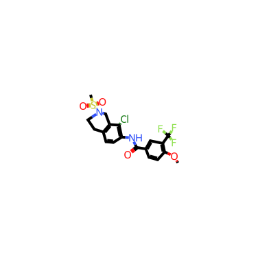 COc1ccc(C(=O)Nc2ccc3c(c2Cl)CN(S(C)(=O)=O)CC3)cc1C(F)(F)F